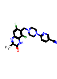 Cc1nc2cc(F)c(CN3CCN(c4ccc(C#N)cn4)CC3)c(F)c2[nH]c1=O